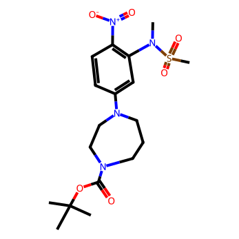 CN(c1cc(N2CCCN(C(=O)OC(C)(C)C)CC2)ccc1[N+](=O)[O-])S(C)(=O)=O